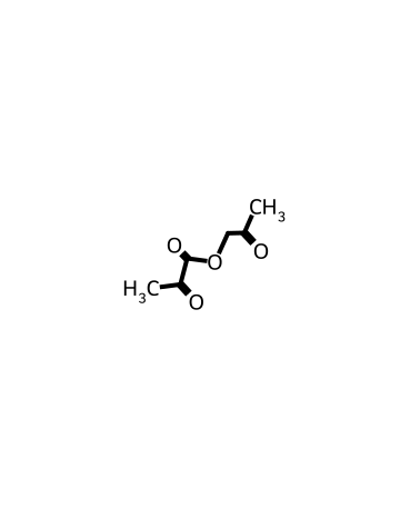 CC(=O)COC(=O)C(C)=O